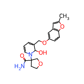 Cc1cc2cc(OCC3=CC=CN(C4(C(N)=O)CCOC4)C3O)ccc2o1